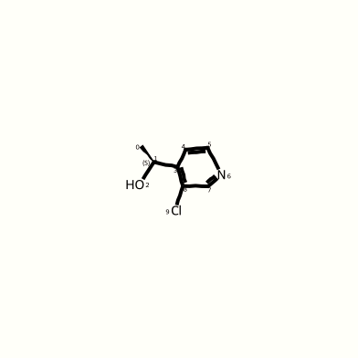 C[C@H](O)c1ccncc1Cl